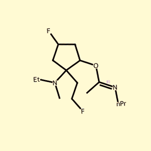 CCC/N=C(\C)OC1CC(F)CC1(CCF)N(C)CC